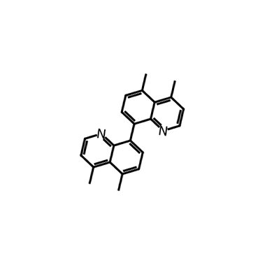 Cc1ccnc2c(-c3ccc(C)c4c(C)ccnc34)ccc(C)c12